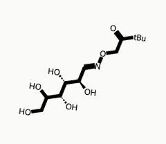 CC(C)(C)C(=O)CO/N=C/[C@@H](O)[C@@H](O)[C@H](O)C(O)CO